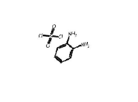 Nc1ccccc1N.O=S(=O)(Cl)Cl